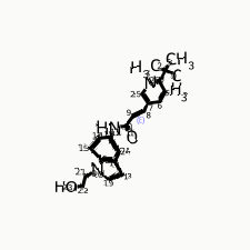 CC(C)(C)c1ccc(/C=C/C(=O)Nc2ccc3c(ccn3CCO)c2)cn1